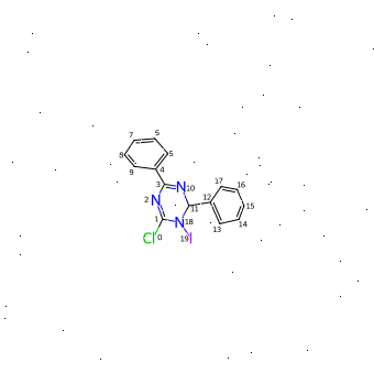 ClC1=NC(c2ccccc2)=NC(c2ccccc2)N1I